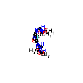 COC(=O)NC(C(=O)N1CCCC1c1ncc(-c2ccc3c(c2)OCCn2c-3c(F)c3cc(-c4cnc([C@@H]5CCCN5C(=O)C(NC(=O)OC)C(C)C)[nH]4)ccc32)[nH]1)C(C)C